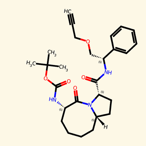 C#CCOC[C@@H](NC(=O)[C@@H]1CC[C@@H]2CCCC[C@H](NC(=O)OC(C)(C)C)C(=O)N21)c1ccccc1